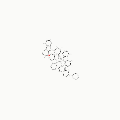 c1ccc(-c2ccc3ccc(N4[Si](c5ccccc5)(c5ccccc5)N(c5cccc(-n6c7ccccc7c7ccccc76)n5)[Si]4(c4ccccc4)c4ccccc4)nc3c2)cc1